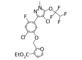 CCOC(=O)c1ccoc1COc1cc(-c2nn(C)c(OC(F)(F)C(F)F)c2Cl)c(F)cc1Cl